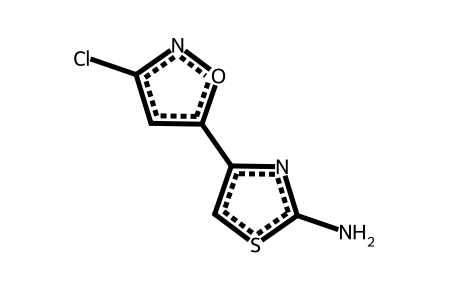 Nc1nc(-c2cc(Cl)no2)cs1